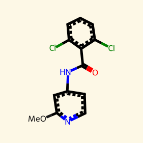 COc1cc(NC(=O)c2c(Cl)cccc2Cl)ccn1